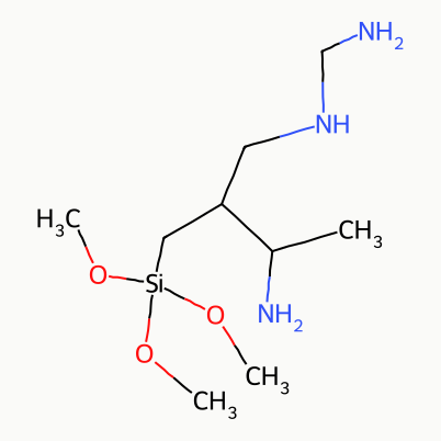 CO[Si](CC(CNCN)C(C)N)(OC)OC